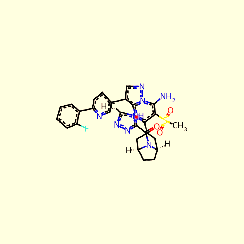 Cc1nnc(C(=O)N2[C@@H]3CC[C@H]2C[C@@H](c2nc4c(-c5ccc(-c6ccccc6F)nc5)cnn4c(N)c2S(C)(=O)=O)C3)[nH]1